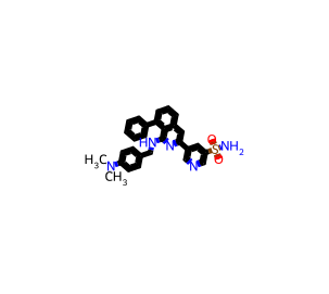 CN(C)c1ccc(CNc2nc(-c3cncc(S(N)(=O)=O)c3)cc3cccc(-c4ccccc4)c23)cc1